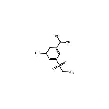 CCS(=O)(=O)C1=CC(C)CC(B(O)O)=C1